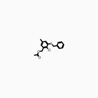 CC(=O)OCc1cc(C)cc(SCc2ccccc2)c1Cl